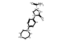 NC(=O)[C@H]1CN(c2ccc(N3CCCOCC3)cc2)C(=O)O1